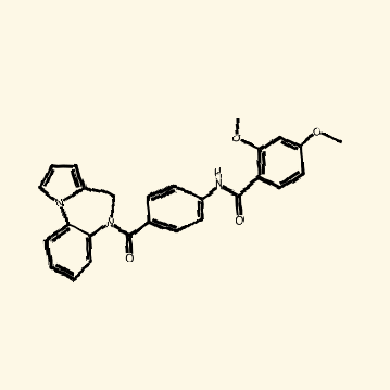 COc1ccc(C(=O)Nc2ccc(C(=O)N3Cc4cccn4-c4ccccc43)cc2)c(OC)c1